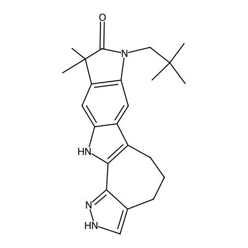 CC(C)(C)CN1C(=O)C(C)(C)c2cc3[nH]c4c(c3cc21)CCCc1c[nH]nc1-4